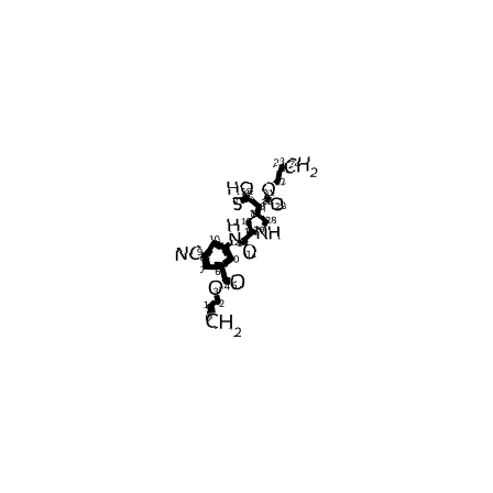 C=CCOC(=O)c1cc(C#N)cc(NC(=O)C2C[C@@H]([C@@H](C(=O)OCC=C)C(O)=S)CN2)c1